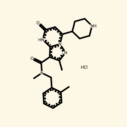 Cc1ccccc1CN(C)C(=O)c1c(C)nn2c(C3CCNCC3)cc(=O)[nH]c12.Cl